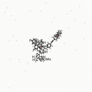 COC(=O)NC(C(=O)NN(Cc1c(F)cc(-c2cc(F)ccn2)cc1F)CC(O)C(Cc1ccc(C#Cc2ccc(N3CC4CC(C3)N4C3COC3)nc2)cc1)NC(=O)C(NC(=O)O)C(C)(C)C(F)(F)F)C(C)(C)C(F)(F)F